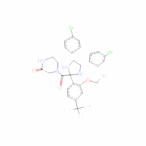 CCOc1cc(C(C)(C)C)ccc1C1(C(=O)N2CCNC(=O)C2)N[C@H](c2ccc(Br)cc2)[C@H](c2ccc(Br)cc2)N1